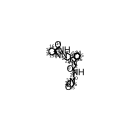 O=C(CN1CC2(CCN(c3nc4c(c(=O)[nH]3)CCCC4)CC2)c2ccccc21)NCCN1CCOCC1